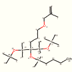 C=C(C)COCCC[Si](O[Si](C)(C)CCCOC(C)=O)([Si](C)(C)O[Si](C)(C)C)[Si](C)(C)O[Si](C)(C)C